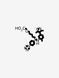 Cc1ccc(-c2c(C)noc2C)cc1NN(CCCCCOCC(=O)O)c1ccc(-n2cnnc2)cc1